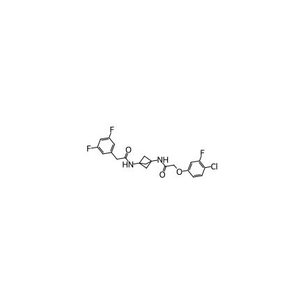 O=C(COc1ccc(Cl)c(F)c1)NC12CC(NC(=O)Cc3cc(F)cc(F)c3)(C1)C2